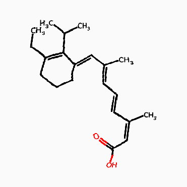 CCC1=C(C(C)C)C(=CC(C)=C/C=C/C(C)=C\C(=O)O)CCC1